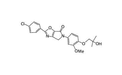 COc1cc(N2Cc3nc(-c4ccc(Cl)cc4)oc3C2=O)ccc1OCC(C)(C)O